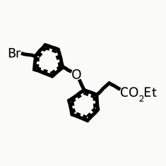 CCOC(=O)Cc1ccccc1Oc1ccc(Br)cc1